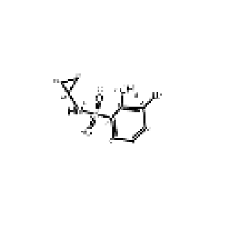 Cc1c(Br)cccc1S(=O)(=O)NC1CC1